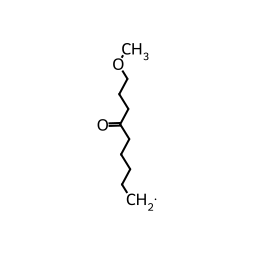 [CH2]CCCCC(=O)CCCOC